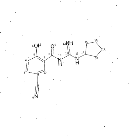 N#Cc1ccc(O)c(C(=O)NC(=N)NC2CCCC2)c1